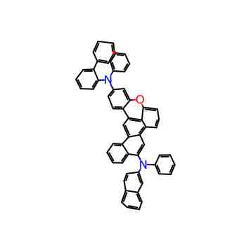 c1ccc(-c2ccccc2N(c2ccccc2)c2ccc3c(c2)Oc2cccc4c2c-3cc2c3ccccc3c(N(c3ccccc3)c3ccc5ccccc5c3)cc42)cc1